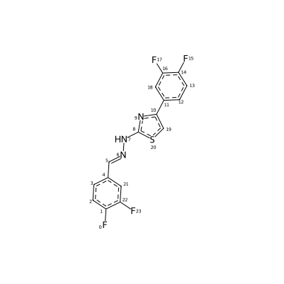 Fc1ccc(C=NNc2nc(-c3ccc(F)c(F)c3)cs2)cc1F